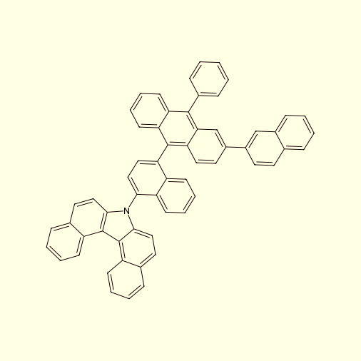 c1ccc(-c2c3ccccc3c(-c3ccc(-n4c5ccc6ccccc6c5c5c6ccccc6ccc54)c4ccccc34)c3ccc(-c4ccc5ccccc5c4)cc23)cc1